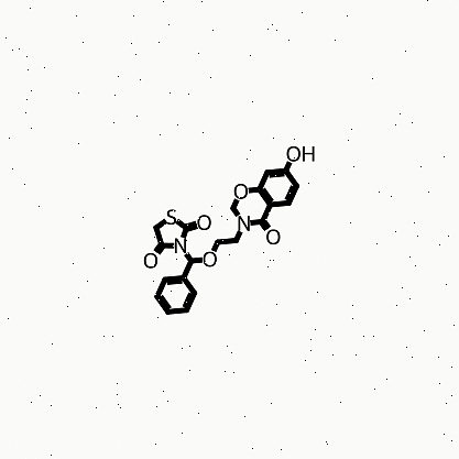 O=C1c2ccc(O)cc2OCN1CCOC(c1ccccc1)N1C(=O)CSC1=O